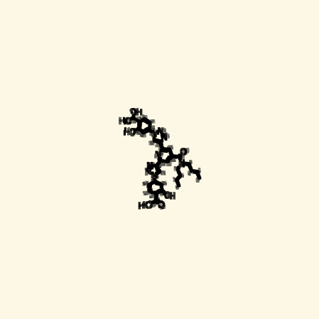 CCCCN(CCCC)C(=O)c1cc(-c2cn(-c3ccc(C(=O)O)c(O)c3)nn2)nc(-c2cn(-c3ccc(C(O)O)c(O)c3)nn2)c1